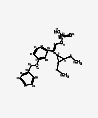 CCC1C(CC)C1C(=CO[PH](=O)O)c1cccc(OCc2ccccc2)c1